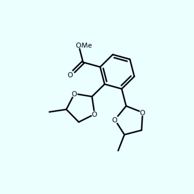 COC(=O)c1cccc(C2OCC(C)O2)c1C1OCC(C)O1